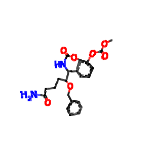 COC(=O)Oc1cccc2c1OC(=O)NC2C(CCCC(N)=O)OCc1ccccc1